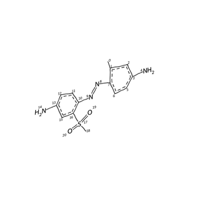 Cc1cc(N)ccc1N=Nc1ccc(N)cc1S(C)(=O)=O